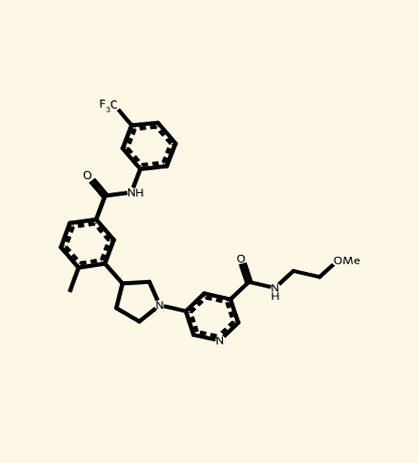 COCCNC(=O)c1cncc(N2CCC(c3cc(C(=O)Nc4cccc(C(F)(F)F)c4)ccc3C)C2)c1